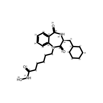 O=C(CCCCCN1C(=O)[C@H](CC2CCCCC2)NC(=O)c2ccccc21)NO